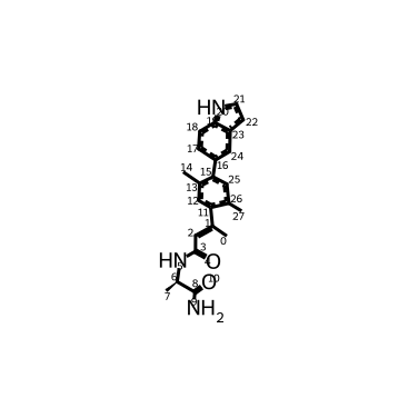 C/C(=C\C(=O)N[C@H](C)C(N)=O)c1cc(C)c(-c2ccc3[nH]ccc3c2)cc1C